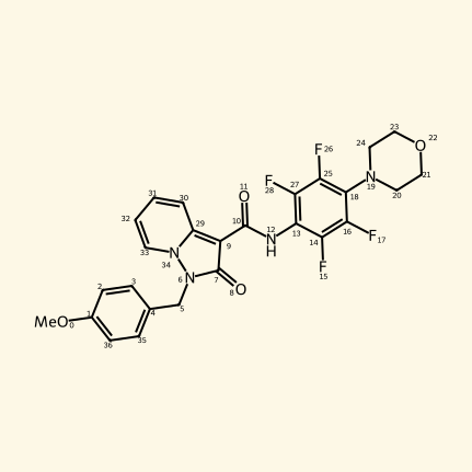 COc1ccc(Cn2c(=O)c(C(=O)Nc3c(F)c(F)c(N4CCOCC4)c(F)c3F)c3ccccn32)cc1